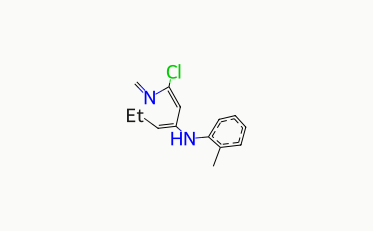 C=N/C(Cl)=C\C(=C/CC)Nc1ccccc1C